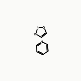 C1=CSSN1.c1ccncc1